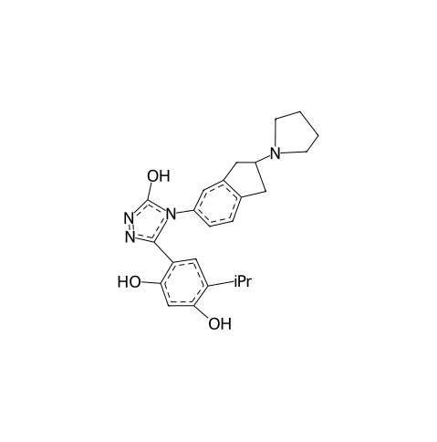 CC(C)c1cc(-c2nnc(O)n2-c2ccc3c(c2)CC(N2CCCC2)C3)c(O)cc1O